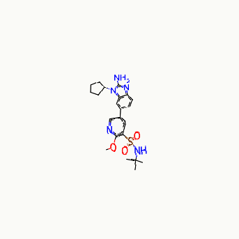 COc1ncc(-c2ccc3nc(N)n(C4CCCC4)c3c2)cc1S(=O)(=O)NC(C)(C)C